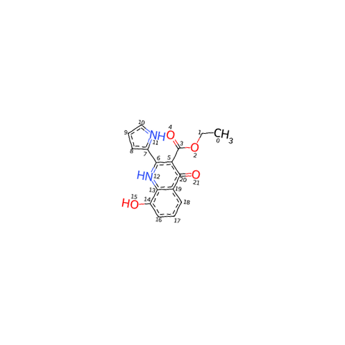 CCOC(=O)c1c(-c2ccc[nH]2)[nH]c2c(O)cccc2c1=O